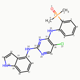 CP(C)(=O)c1ccccc1Nc1nc(Nc2cccc3[nH]ccc23)ncc1Cl